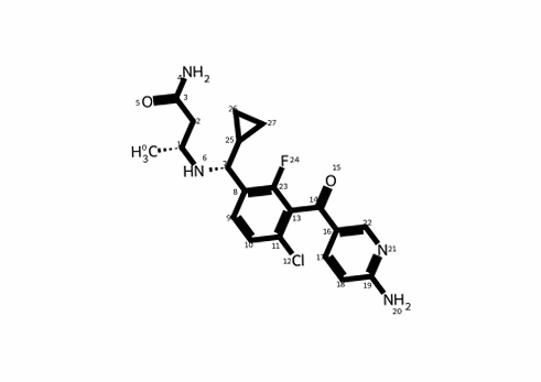 C[C@H](CC(N)=O)N[C@@H](c1ccc(Cl)c(C(=O)c2ccc(N)nc2)c1F)C1CC1